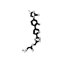 [CH2][C@H]1CN(c2ccc(-c3ccc(-c4noc(COC(=O)CN)n4)nc3)c(F)c2)C(=O)O1